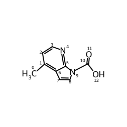 Cc1ccnc2c1ccn2C(=O)O